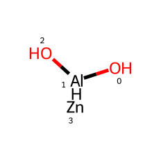 [OH][AlH][OH].[Zn]